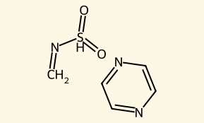 C=N[SH](=O)=O.c1cnccn1